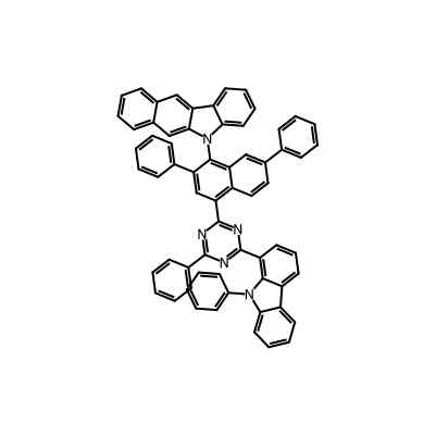 c1ccc(-c2ccc3c(-c4nc(-c5ccccc5)nc(-c5cccc6c7ccccc7n(-c7ccccc7)c56)n4)cc(-c4ccccc4)c(-n4c5ccccc5c5cc6ccccc6cc54)c3c2)cc1